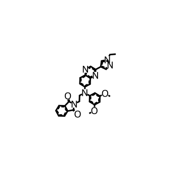 CCn1cc(-c2cnc3ccc(N(CCN4C(=O)c5ccccc5C4=O)c4cc(OC)cc(OC)c4)cc3n2)cn1